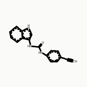 C#Cc1ccc(NC(=O)Nc2c[nH]c3ccccc23)cc1